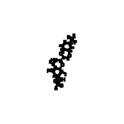 Cc1cc([C@@H](C)NC(=O)[C@H]2COc3cc(C(F)(F)F)ccc3O2)c(F)cc1NS(C)(=O)=O